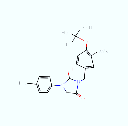 COc1cc(CN2C(=O)CN(c3ccc(C(F)(F)F)cc3)C2O)ccc1OC(C)(C)C(=O)O